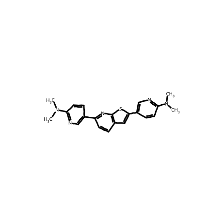 CN(C)c1ccc(-c2ccc3cc(-c4ccc(N(C)C)nc4)sc3n2)cn1